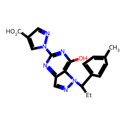 CCC(c1ccc(C)cc1)n1ncc2nc(-n3cc(C(=O)O)cn3)nc(O)c21